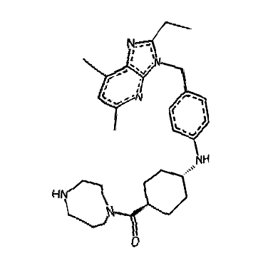 CCc1nc2c(C)cc(C)nc2n1Cc1ccc(N[C@H]2CC[C@H](C(=O)N3CCNCC3)CC2)cc1